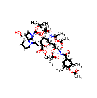 COC(=O)[C@@]1(CCN2CCCC[C@]23CN(C(=O)OC(C)(C)C)C[C@@H]3CO)C[C@H](OC(C)=O)[C@@H](NC(C)=O)[C@H]([C@H](OC(C)=O)[C@@H](CNC(=O)c2cc(C)c(OC(C)=O)c(C)c2)OC(C)=O)O1